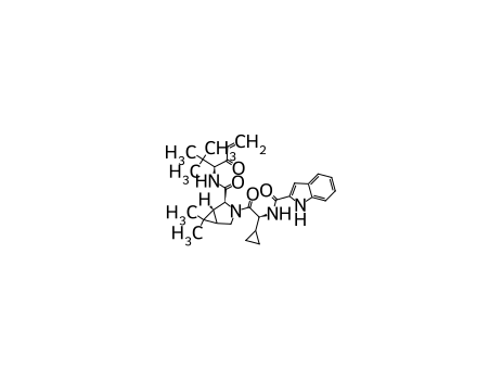 C=CC(=O)[C@@H](NC(=O)[C@@H]1[C@@H]2C(CN1C(=O)[C@@H](NC(=O)c1cc3ccccc3[nH]1)C1CC1)C2(C)C)C(C)(C)C